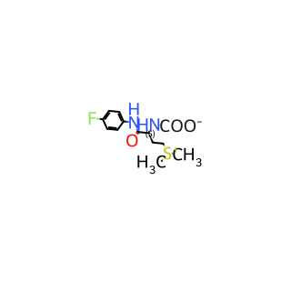 C[S+](C)CC[C@H](NC(=O)[O-])C(=O)Nc1ccc(F)cc1